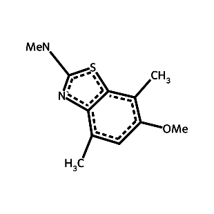 CNc1nc2c(C)cc(OC)c(C)c2s1